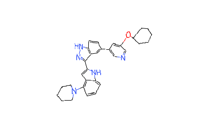 c1cc(N2CCCCC2)c2cc(-c3n[nH]c4ccc(-c5cncc(OC6CCCCC6)c5)cc34)[nH]c2c1